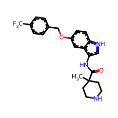 CC1(C(=O)Nc2c[nH]c3ccc(OCc4ccc(C(F)(F)F)cc4)cc23)CCNCC1